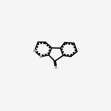 O=C1c2ccccc2-c2ccnnc21